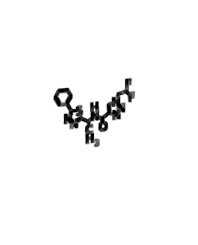 CC(NC(=O)c1cn(CC(F)F)nn1)c1nnc(-c2ccccc2)s1